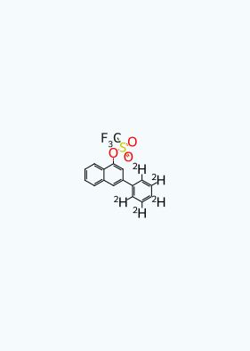 [2H]c1c([2H])c([2H])c(-c2cc(OS(=O)(=O)C(F)(F)F)c3ccccc3c2)c([2H])c1[2H]